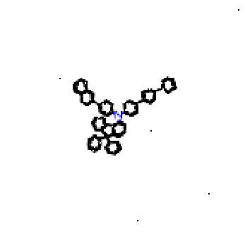 c1ccc(-c2ccc(-c3ccc(N(c4ccc(-c5ccc6ccccc6c5)cc4)c4cccc5c4-c4ccccc4C5(c4ccccc4)c4ccccc4)cc3)cc2)cc1